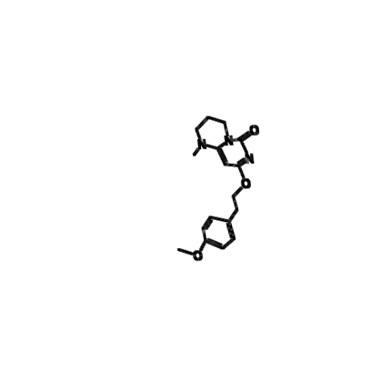 COc1ccc(CCOc2cc3n(c(=O)n2)CCCN3C)cc1